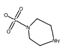 [O]S(=O)(=O)N1CCNCC1